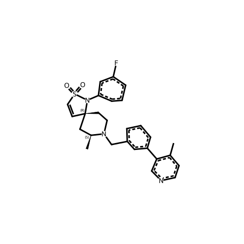 Cc1ccncc1-c1cccc(CN2CC[C@]3(C=CS(=O)(=O)N3c3cccc(F)c3)C[C@@H]2C)c1